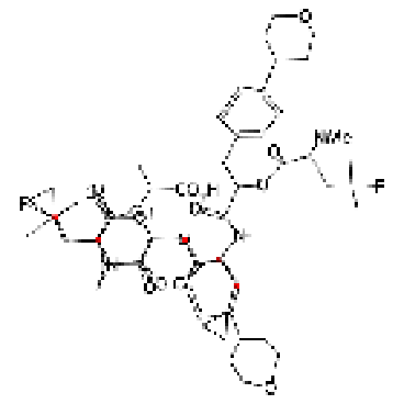 CNC(CC(C)(C)F)C(=O)OC(Cc1ccc(C2CCOCC2)cc1)C(=O)N(C)C(CC1CC1)C(=O)OC(C)C(=O)N(C)C(CC(C)(C)F)C(=O)OC(Cc1ccc(C2CCOCC2)cc1)C(=O)N(C)C(CC1CC1)C(=O)OC(C)C(=O)O